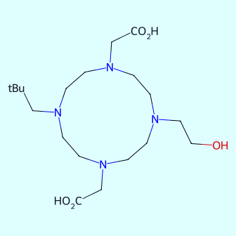 CC(C)(C)CN1CCN(CC(=O)O)CCN(CCO)CCN(CC(=O)O)CC1